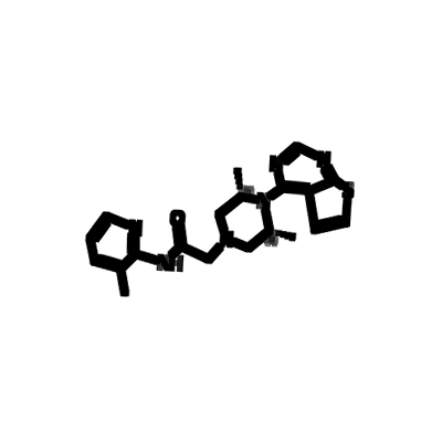 Cc1cccnc1NC(=O)CN1C[C@@H](C)N(c2ncnc3sccc23)[C@@H](C)C1